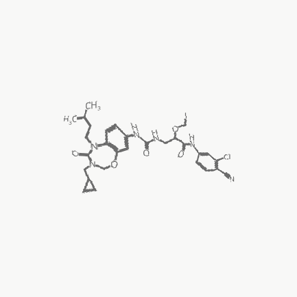 CC(C)CCN1C(=O)N(CC2CC2)COc2cc(NC(=O)NCC(OCI)C(=O)Nc3ccc(C#N)c(Cl)c3)ccc21